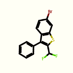 FC(F)c1sc2cc(Br)ccc2c1-c1ccccc1